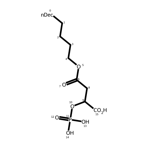 CCCCCCCCCCCCCCOC(=O)CC(OP(=O)(O)O)C(=O)O